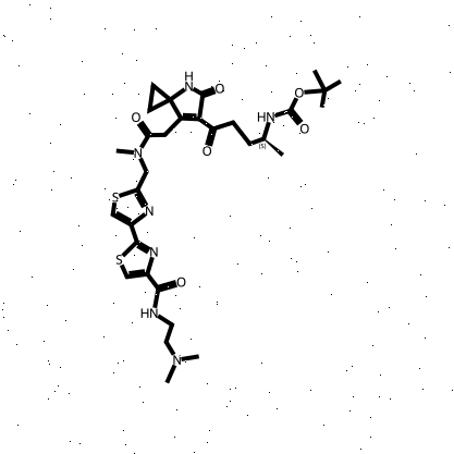 C[C@@H](CCC(=O)C1=C(CC(=O)N(C)Cc2nc(-c3nc(C(=O)NCCN(C)C)cs3)cs2)C2(CC2)NC1=O)NC(=O)OC(C)(C)C